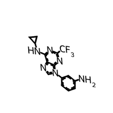 Nc1cccc(-n2cnc3c(NC4CC4)nc(C(F)(F)F)nc32)c1